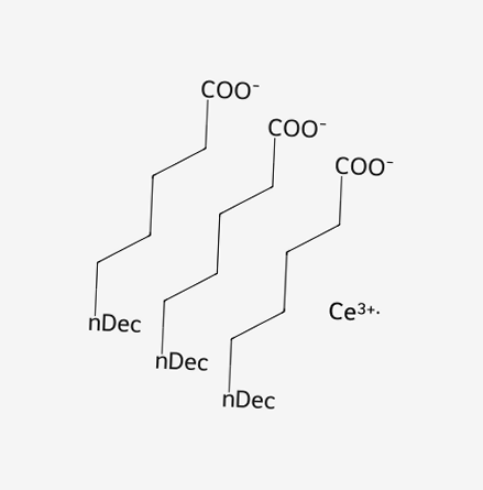 CCCCCCCCCCCCCCC(=O)[O-].CCCCCCCCCCCCCCC(=O)[O-].CCCCCCCCCCCCCCC(=O)[O-].[Ce+3]